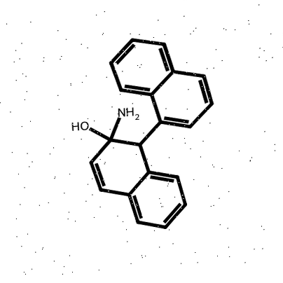 NC1(O)C=Cc2ccccc2C1c1cccc2ccccc12